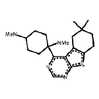 CNC1CCC(NC)(c2ncnc3sc4c(c23)CC(C)(C)CC4)CC1